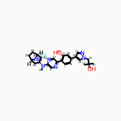 CN(c1cnc(-c2ccc(-c3cnn(CC(C)(C)O)c3)cc2O)cn1)[C@@H]1C[C@H]2CC[C@H](N2)[C@@H]1F